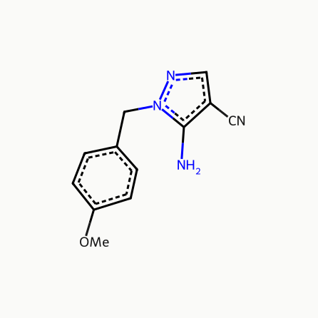 COc1ccc(Cn2ncc(C#N)c2N)cc1